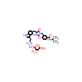 CC(C)NC(=O)c1cccc(CN2C(=O)NC(Cc3ccc4[nH]cc(CCN)c4c3)C2=O)c1.O.O=C(O)/C=C\C(=O)O